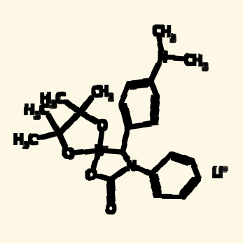 CN(C)c1ccc(C2N(c3ccccc3)C(=O)O[B-]23OC(C)(C)C(C)(C)O3)cc1.[Li+]